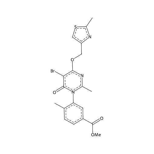 COC(=O)c1ccc(C)c(-n2c(C)nc(OCc3csc(C)n3)c(Br)c2=O)c1